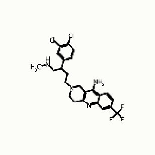 CNCC(CCN1CCc2nc3cc(C(F)(F)F)ccc3c(N)c2C1)c1ccc(Cl)c(Cl)c1